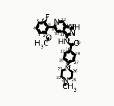 COc1cccc(F)c1-c1cc2c(NC(=O)c3ccc(N4CCN(C)CC4)cc3)n[nH]c2cn1